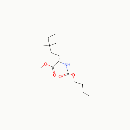 CCCCOC(=O)N[C@@H](CCC(C)(C)CC)C(=O)OC